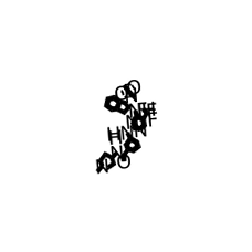 CN1CCC(NC(=O)c2cccc(Nc3ncc(C(F)(F)F)c(N[C@@H]4Cc5ccccc5[C@H]4N(C)S(C)(=O)=O)n3)c2)CC1